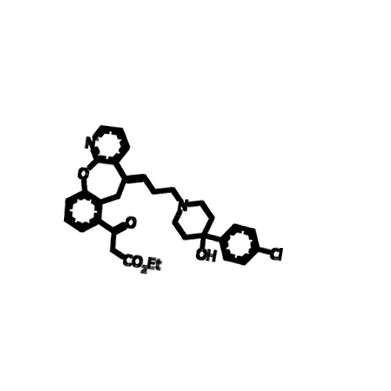 CCOC(=O)CC(=O)c1cccc2c1CC(=CCCN1CCC(O)(c3ccc(Cl)cc3)CC1)c1cccnc1O2